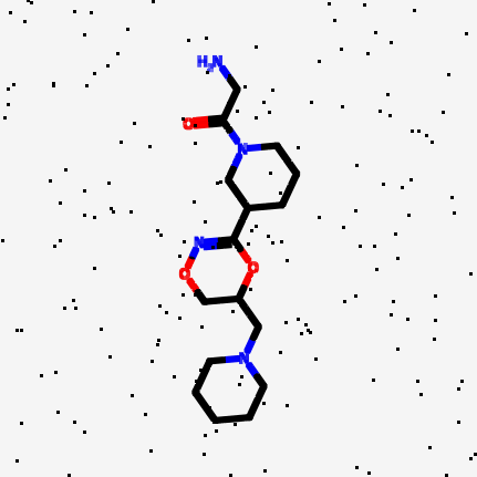 NCC(=O)N1CCCC(C2=NOCC(CN3CCCCC3)O2)C1